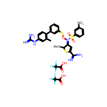 CSC1SC(C(=N)N)=CC1=[N+](OSc1cccc(-c2ccc(NC(=N)N)cc2C)c1)S(=O)(=O)c1cccc([N+](=O)[O-])c1.O=C(O)C(F)(F)F.O=C(O)C(F)(F)F